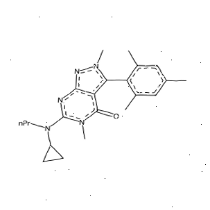 CCCN(c1nc2nn(C)c(-c3c(C)cc(C)cc3C)c2c(=O)n1C)C1CC1